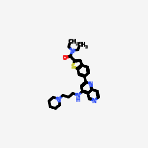 CCN(CC)C(=O)c1cc2ccc(-c3cc(NCCCN4CCCCC4)c4cnccc4n3)cc2s1